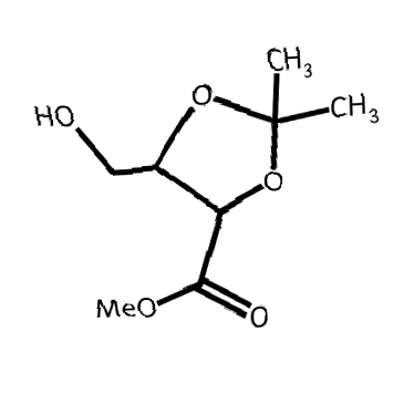 COC(=O)C1OC(C)(C)OC1CO